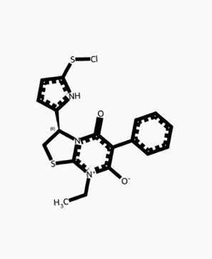 CC[n+]1c([O-])c(-c2ccccc2)c(=O)n2c1SC[C@H]2c1ccc(SCl)[nH]1